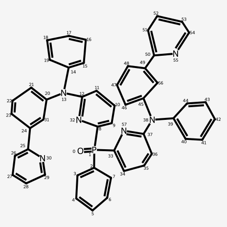 O=P(c1ccccc1)(c1cccc(N(c2ccccc2)c2cccc(-c3ccccn3)c2)n1)c1cccc(N(c2ccccc2)c2cccc(-c3ccccn3)c2)n1